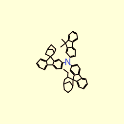 CCC1CC2CCCC(C2)C12c1ccccc1-c1ccc(N(c3ccc4c(c3)C(C)(C)c3ccccc3-4)c3ccc4c(c3)C3(CC5CCC3C5)c3ccccc3-4)cc12